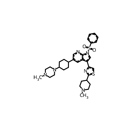 CN1CCC(c2nc(-c3cn(S(=O)(=O)c4ccccc4)c4ncc(C5CCC(N6CCN(C)CC6)CC5)cc34)cs2)CC1